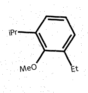 [CH2]C(C)c1cccc(CC)c1OC